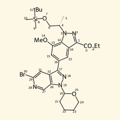 CCOC(=O)c1nn([C@@H](C)CO[Si](C)(C)C(C)(C)C)c2c(OC)cc(-c3nn(C4CCCCO4)c4cnc(Br)cc34)cc12